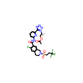 CC(=O)OC[C@@H](C)n1nnnc1-c1cccc(NC(=O)c2cc3c(cc2F)CCN(S(=O)(=O)CCC(F)(F)F)C3)n1